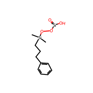 C[Si](C)(CCCc1ccccc1)OO[Si](=O)O